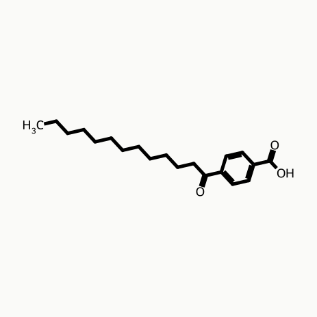 CCCCCCCCCCCCC(=O)c1ccc(C(=O)O)cc1